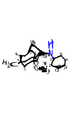 CC12CC3CC(C)(C1)CC(NC1CCCCC1)(C3)C2